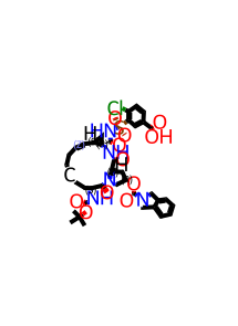 CC(C)(C)OC(=O)N[C@H]1CCCCC/C=C\[C@@H]2C[C@@]2(C(=O)NS(=O)(=O)c2cc(C(=O)O)ccc2Cl)NC(=O)[C@@H]2C[C@@H](OC(=O)N3Cc4ccccc4C3)CN2C1=O